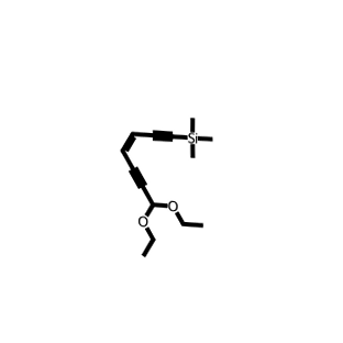 CCOC(C#C/C=C\C#C[Si](C)(C)C)OCC